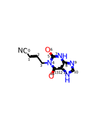 N#CC=CCn1c(=O)[nH]c2nc[nH]c2c1=O